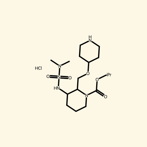 CC(C)OC(=O)N1CCCC(NS(=O)(=O)N(C)C)C1COC1CCNCC1.Cl